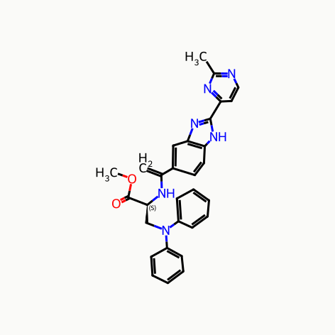 C=C(N[C@@H](CN(c1ccccc1)c1ccccc1)C(=O)OC)c1ccc2[nH]c(-c3ccnc(C)n3)nc2c1